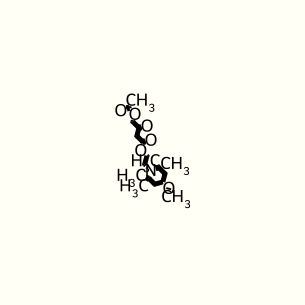 COC1CC(C)(C)N(CCOC(=O)CC(=O)COC(C)=O)C(C)(C)C1